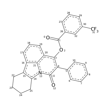 O=C(Oc1c(-c2ccccc2)c(=O)n2c3c(c4cccc1c42)CCCC3)c1cccc(C(F)(F)F)c1